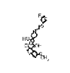 COc1ccc2ncc(Cl)c([C@@H](O)CCC3(C(=O)O)CCN(CCCSc4cccc(F)c4)CC3)c2c1